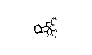 CC(=O)C1(C(=O)O)NN(N)C=C1c1ccccc1